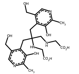 Cc1ncc(CO)c(CC(CNCC(=O)O)(Cc2c(CO)cnc(C)c2O)NCC(=O)O)c1O